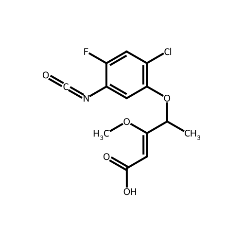 CO/C(=C\C(=O)O)C(C)Oc1cc(N=C=O)c(F)cc1Cl